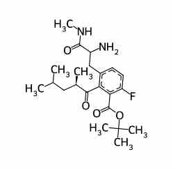 CNC(=O)C(N)Cc1ccc(F)c(C(=O)OC(C)(C)C)c1C(=O)[C@H](C)CC(C)C